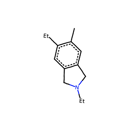 CCc1cc2c(cc1C)CN(CC)C2